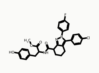 COC(=O)C(Cc1ccc(O)cc1)NC(=O)C1CCCc2c1nn(-c1ccc(F)cc1)c2-c1ccc(Cl)cc1